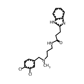 CN(CCCNC(=O)CCc1nc2ccccc2[nH]1)Cc1ccc(Cl)c(Cl)c1